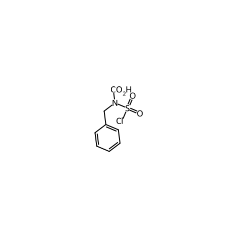 O=C(O)N(Cc1ccccc1)S(=O)(=O)Cl